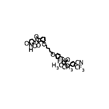 CC1(C)CN(Cc2ccc(OCCCCCOc3cccc4c3C(=O)N(C3CCC(=O)NC3=O)C4=O)cc2F)C(=O)C1Oc1ccc(C#N)c(C(F)(F)F)c1